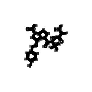 CNC(C)C(=O)NC(C(=O)N1CCC2C1C(OCc1ccc(F)cc1)CN2C(C)=O)C(C)(C)C